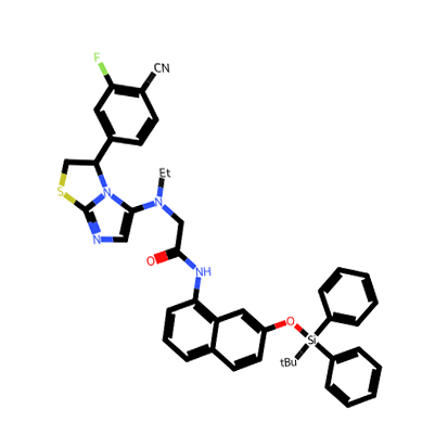 CCN(CC(=O)Nc1cccc2ccc(O[Si](c3ccccc3)(c3ccccc3)C(C)(C)C)cc12)c1cnc2n1C(c1ccc(C#N)c(F)c1)CS2